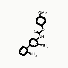 COc1ccc(OC(=O)Nc2ccc(-c3ccccc3N)cc2N)cc1